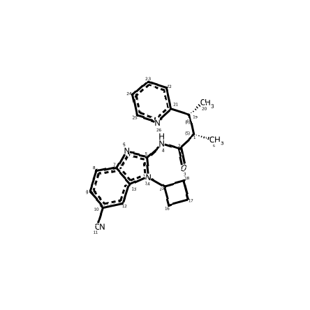 C[C@H](C(=O)Nc1nc2ccc(C#N)cc2n1C1CCC1)[C@@H](C)c1ccccn1